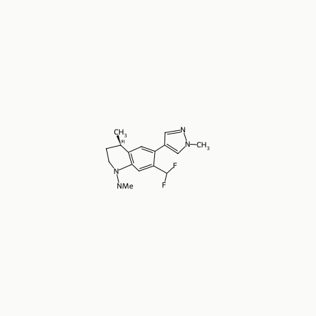 CNN1CC[C@@H](C)c2cc(-c3cnn(C)c3)c(C(F)F)cc21